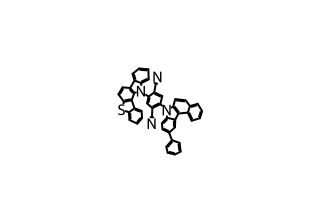 N#Cc1cc(-n2c3ccccc3c3ccc4sc5ccccc5c4c32)c(C#N)cc1-n1c2ccc(-c3ccccc3)cc2c2c3ccccc3ccc21